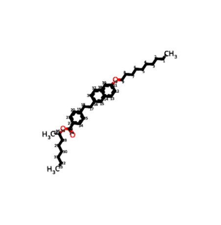 CCCCCCCCCCOc1ccc2cc(CCc3ccc(C(=O)O[C@H](C)CCCCCC)cc3)ccc2c1